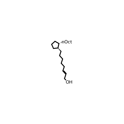 CCCCCCCC[C@H]1CCC[C@@H]1CCCCCC=CCO